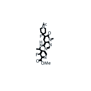 COC(=O)c1nccc(C(C)Nc2ncnc3c2cc(C2(F)CCN(C(C)=O)CC2)c(=O)n3C)c1F